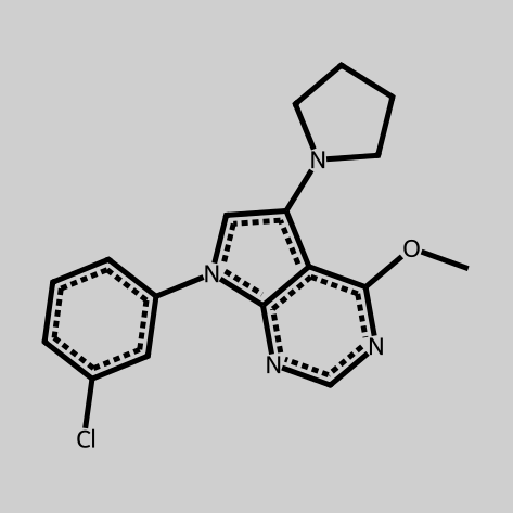 COc1ncnc2c1c(N1CCCC1)cn2-c1cccc(Cl)c1